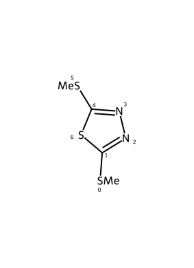 CSc1nnc(SC)s1